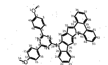 COc1ccc(-c2nc(-c3ccc(OC)cc3)nc(-n3c4ccccc4c4cc5c(cc43)cc3c4ccccc4c4ccccc4n53)n2)cc1